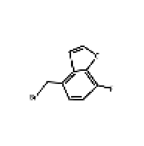 Fc1ccc(CBr)c2ccoc12